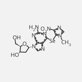 Cn1cnc([N+](=O)[O-])c1[Se]c1nc(N)nc2c1ncn2[C@@H]1C[C@H](O)[C@@H](CO)O1